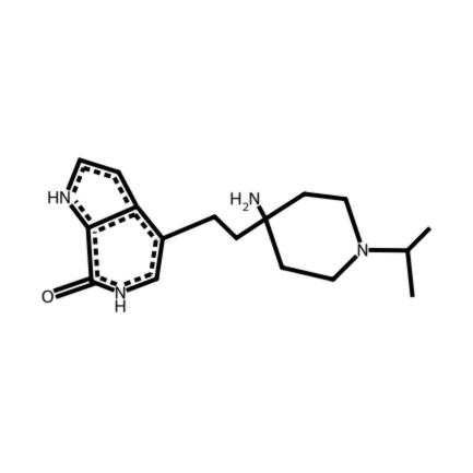 CC(C)N1CCC(N)(CCc2c[nH]c(=O)c3[nH]ccc23)CC1